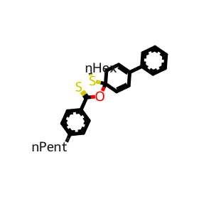 CCCCCCSC1(OC(=S)c2ccc(CCCCC)cc2)C=CC(c2ccccc2)=CC1